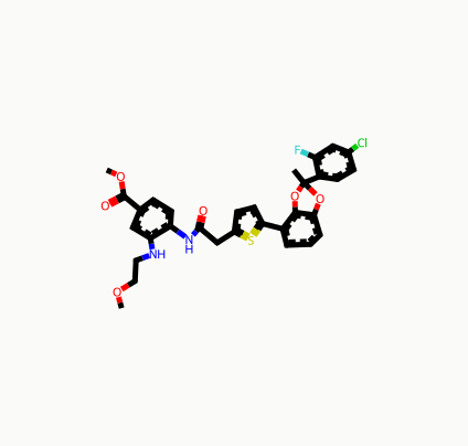 COCCNc1cc(C(=O)OC)ccc1NC(=O)Cc1ccc(-c2cccc3c2OC(C)(c2ccc(Cl)cc2F)O3)s1